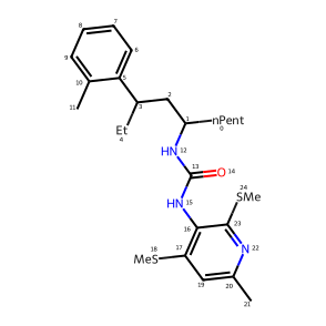 CCCCCC(CC(CC)c1ccccc1C)NC(=O)Nc1c(SC)cc(C)nc1SC